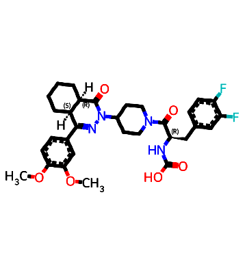 COc1ccc(C2=NN(C3CCN(C(=O)[C@@H](Cc4ccc(F)c(F)c4)NC(=O)O)CC3)C(=O)[C@@H]3CCCC[C@H]23)cc1OC